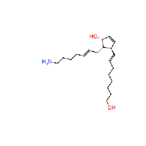 NCCCCC=CC[C@H]1[C@H](C=CCCCCCCO)C=C[C@H]1O